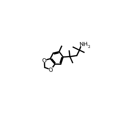 Cc1cc2c(cc1C(C)(C)CC(C)(C)N)OCO2